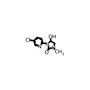 CN1CC(O)N(c2ccc(Cl)cn2)C1=O